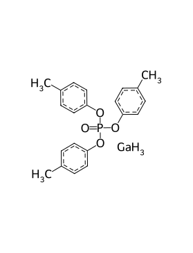 Cc1ccc(OP(=O)(Oc2ccc(C)cc2)Oc2ccc(C)cc2)cc1.[GaH3]